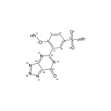 CCCOc1ccc(S(=O)(=O)CCC)cc1C1=NC(=O)C2=NN=NC2=N1